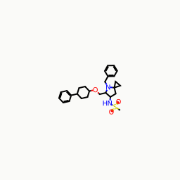 CS(=O)(=O)NC1CC2(CC2)N(Cc2ccccc2)C1COC1CCC(c2ccccc2)CC1